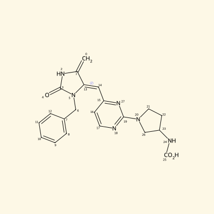 C=c1[nH]c(=O)n(Cc2ccccc2)/c1=C\c1ccnc(N2CCC(NC(=O)O)C2)n1